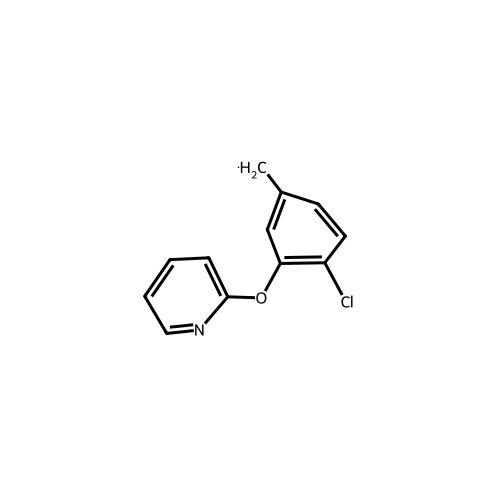 [CH2]c1ccc(Cl)c(Oc2ccccn2)c1